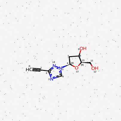 C#Cc1ncn([C@H]2CC(O)[C@@H](CO)O2)n1